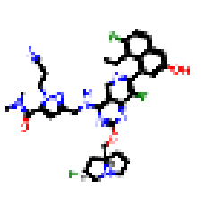 CCc1c(F)ccc2cc(O)cc(-c3ncc4c(NCc5cc(C(=O)N(C)C)n(CCC#N)n5)nc(OC[C@@]56CCCN5C[C@H](F)C6)nc4c3F)c12